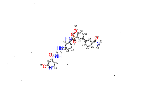 COc1cc(C(=O)NCCNc2cccc(NS(=O)(=O)c3cc(-c4cccc(C(=O)N(C)C)c4)ccc3OC)c2)ccn1